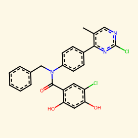 Cc1cnc(Cl)nc1-c1ccc(N(Cc2ccccc2)C(=O)c2cc(Cl)c(O)cc2O)cc1